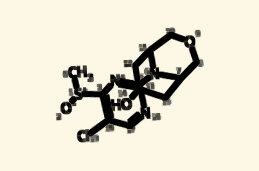 C[S+]([O-])c1nc(N2C3COCC2CC(O)C3)ncc1Cl